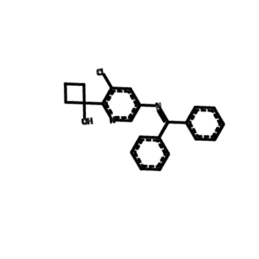 OC1(c2ncc(N=C(c3ccccc3)c3ccccc3)cc2Cl)CCC1